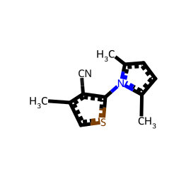 Cc1csc(-n2c(C)ccc2C)c1C#N